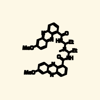 CCC(NC(=O)c1cccc2nc3cc(OC)ccc3nc12)N(C)C(CC)NC(=O)c1cccc2nc3cc(OC)ccc3nc12